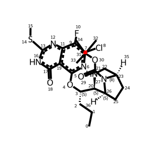 CCC[C@H](Oc1nc(Cl)c(F)c2nc(SC)[nH]c(=O)c12)[C@H]1NC[C@H]2CC[C@@H]1N2C(=O)OC(C)(C)C